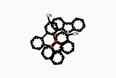 N#Cc1ccc(-n2c3ccccc3c3cccc(-n4c5ccccc5c5ccccc54)c32)c(-c2ccccc2-n2c3ccccc3c3cc(C#N)ccc32)c1